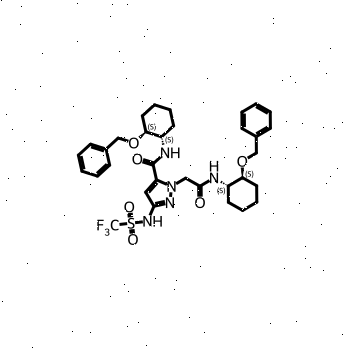 O=C(Cn1nc(NS(=O)(=O)C(F)(F)F)cc1C(=O)N[C@H]1CCCC[C@@H]1OCc1ccccc1)N[C@H]1CCCC[C@@H]1OCc1ccccc1